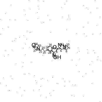 ON=c1cc(-c2cc3cccn3cn2)oc2ccc(CCCN3CCOCC3)cc12